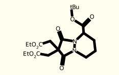 CCOC(=O)CC1(CC(=O)OCC)C(=O)N2CCCC(C(=O)OC(C)(C)C)N2C1=O